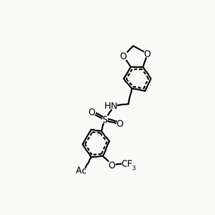 CC(=O)c1ccc(S(=O)(=O)NCc2ccc3c(c2)OCO3)cc1OC(F)(F)F